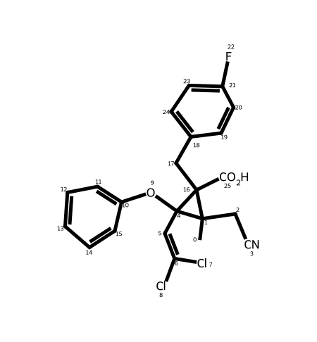 CC1(CC#N)C(C=C(Cl)Cl)(Oc2ccccc2)C1(Cc1ccc(F)cc1)C(=O)O